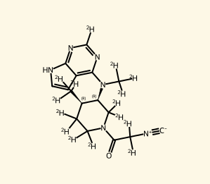 [2H]c1nc(N([C@@H]2[C@H](C([2H])([2H])[2H])C([2H])([2H])C([2H])([2H])N(C(=O)C([2H])([2H])[N+]#[C-])C2([2H])[2H])C([2H])([2H])[2H])c2cc[nH]c2n1